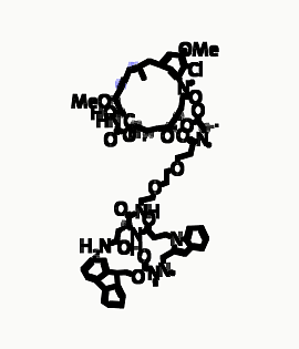 COc1cc2cc(c1Cl)N(C)C(=O)C[C@H](OC(=O)[C@H](C)N(C)C(=O)CCOCCOCCNC(=O)[C@H](CC(N)=O)NC(=O)CCn1c(CN(C)N(C)C(=O)OCC3c4ccccc4-c4ccccc43)cc3ccccc31)[C@]1(C)OC1[C@H](C)[C@@H]1C[C@@](O)(NC(=O)O1)[C@H](OC)/C=C/C=C(\C)C2